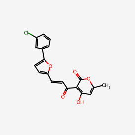 Cc1cc(O)c(C(=O)C=Cc2ccc(-c3cccc(Cl)c3)o2)c(=O)o1